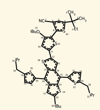 CCC(C)(C)c1cc(C#N)c(-c2sc(-c3cc4c(-c5ccc(CC(C)C)s5)c5sc(C(C)(C)C)cc5c(-c5ccc(CC(C)C)s5)c4s3)cc2OCC(C)C)s1